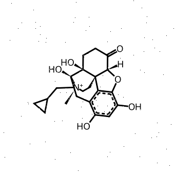 C[N@+]1(CC2CC2)CC[C@]23c4c5c(O)cc(O)c4O[C@H]2C(=O)CC[C@@]3(O)[C@@]1(O)C5